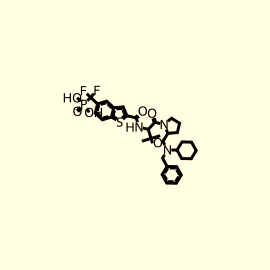 CC(C)(C)C(NC(=O)c1cc2cc(C(F)(F)P(=O)(O)O)ccc2s1)C(=O)N1CCCC1C(=O)N(Cc1ccccc1)C1CCCCC1